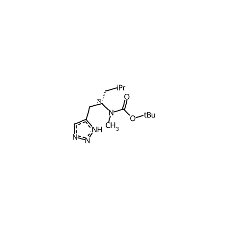 CC(C)C[C@@H](Cc1cnn[nH]1)N(C)C(=O)OC(C)(C)C